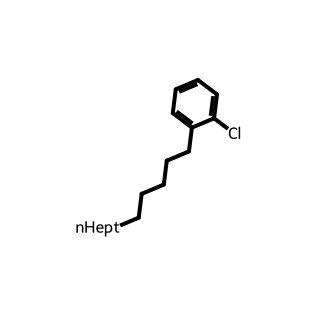 CCCCCCCCCCCCc1ccccc1Cl